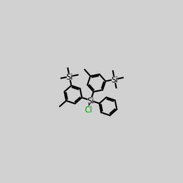 Cc1cc([Si](C)(C)C)cc([Si](Cl)(c2ccccc2)c2cc(C)cc([Si](C)(C)C)c2)c1